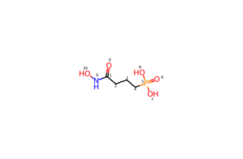 O=C(CCCP(=O)(O)O)NO